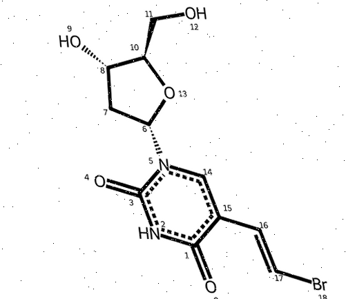 O=c1[nH]c(=O)n([C@@H]2C[C@H](O)[C@@H](CO)O2)cc1/C=C/Br